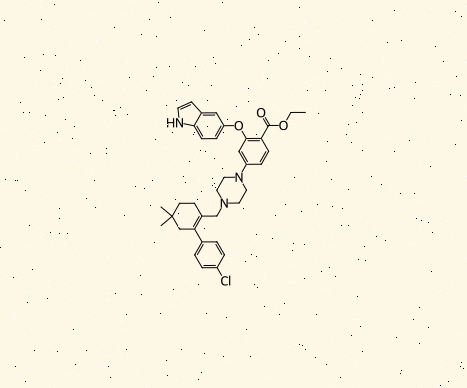 CCOC(=O)c1ccc(N2CCN(CC3=C(c4ccc(Cl)cc4)CC(C)(C)CC3)CC2)cc1Oc1ccc2[nH]ccc2c1